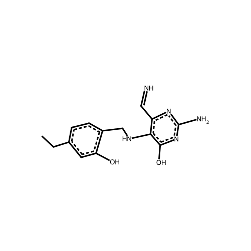 CCc1ccc(CNc2c(O)nc(N)nc2C=N)c(O)c1